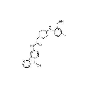 Cc1ccc(NC2CCN(CC(=O)Nc3ccc4c(c3)-c3ccccc3C4O)CC2)c(CO)c1